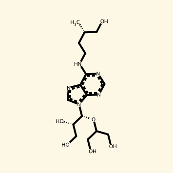 C[C@H](CO)CCNc1ncnc2c1ncn2[C@H](OC(CO)CO)[C@@H](O)CO